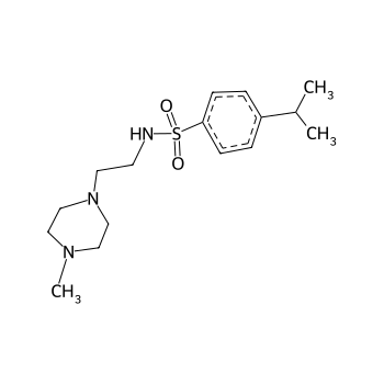 CC(C)c1ccc(S(=O)(=O)NCCN2CCN(C)CC2)cc1